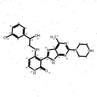 Cc1nc(N2CCNCC2)nc2[nH]c(-c3c(NCC(O)c4cccc(Cl)c4)cc[nH]c3=O)nc12